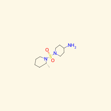 C[C@@H]1CCCCN1S(=O)(=O)N1CCC(N)CC1